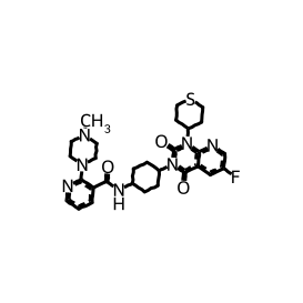 CN1CCN(c2ncccc2C(=O)NC2CCC(n3c(=O)c4cc(F)cnc4n(C4CCSCC4)c3=O)CC2)CC1